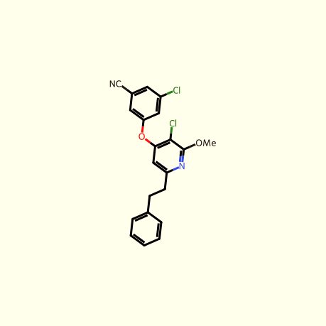 COc1nc(CCc2ccccc2)cc(Oc2cc(Cl)cc(C#N)c2)c1Cl